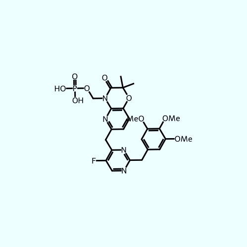 COc1cc(Cc2ncc(F)c(Cc3ccc4c(n3)N(COP(=O)(O)O)C(=O)C(C)(C)O4)n2)cc(OC)c1OC